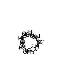 [O-][S+]1C[C@H]2CC[C@H](CC2)C[S+]([O-])C[C@H]2CC[C@H](CC2)C[S+]([O-])C[C@H]2CC[C@H](CC2)C1